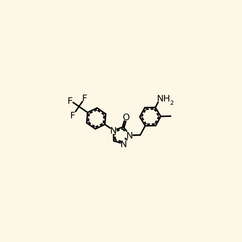 Cc1cc(Cn2ncn(-c3ccc(C(F)(F)F)cc3)c2=O)ccc1N